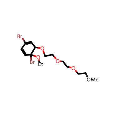 CCOC1(Br)C=CC(Br)=CC1OCCOCCOCCOC